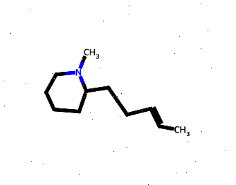 C/C=C/CCC1CCCCN1C